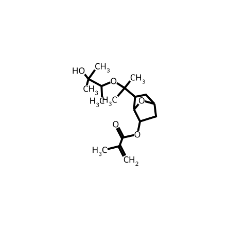 C=C(C)C(=O)OC1CC2CC(C(C)(C)OC(C)C(C)(C)O)C1O2